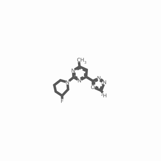 [2H]c1nnc(-c2cc(C)nc(N3CCCC(F)C3)n2)o1